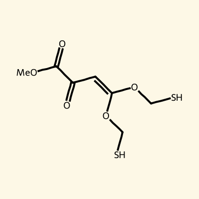 COC(=O)C(=O)C=C(OCS)OCS